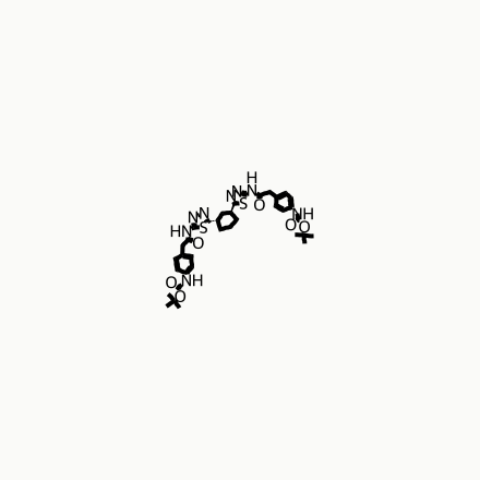 CC(C)(C)OC(=O)Nc1ccc(CC(=O)Nc2nnc([C@H]3CCC[C@H](c4nnc(NC(=O)Cc5ccc(NC(=O)OC(C)(C)C)cc5)s4)C3)s2)cc1